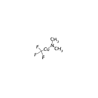 C[N](C)[Cu][C](F)(F)F